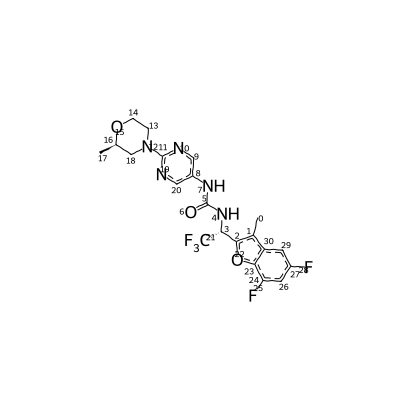 Cc1c([C@@H](NC(=O)Nc2cnc(N3CCO[C@H](C)C3)nc2)C(F)(F)F)oc2c(F)cc(F)cc12